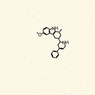 COc1ccc2[nH]c3c(c2c1)CC(C1CC(c2ccccc2)=CCN1)CC3C